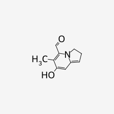 CC1=C(C=O)N2CCC=C2C=C1O